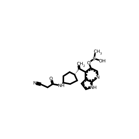 C=C(c1c(OB(C)O)cnc2[nH]ccc12)[C@H]1CC[C@H](NC(=O)CC#N)CC1